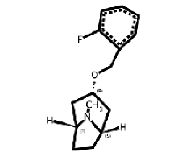 CN1[C@@H]2CC[C@H]1C[C@@H](OCc1ccccc1F)C2